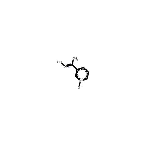 N/C(=N\O)c1ccc[n+]([O-])c1